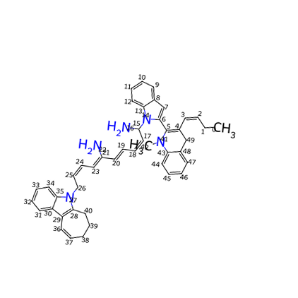 CC/C=C\C1=C(c2cc3ccccc3n2C(N)\C=C/C=C/C(N)=C/C=C\Cn2c3c(c4ccccc42)C=CCCC3)N(C)c2ccccc2C1